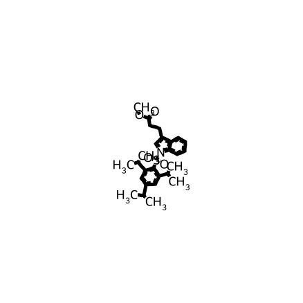 COC(=O)CCc1cn(S(=O)(=O)c2c(C(C)C)cc(C(C)C)cc2C(C)C)c2ccccc12